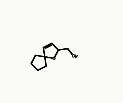 OCC1C=CC2(CCCC2)O1